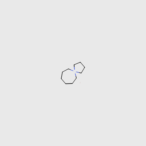 C1CCC[N+]2(CC1)CCCC2.[Br-]